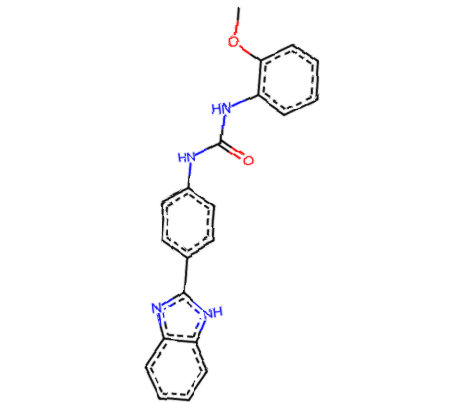 COc1ccccc1NC(=O)Nc1ccc(-c2nc3ccccc3[nH]2)cc1